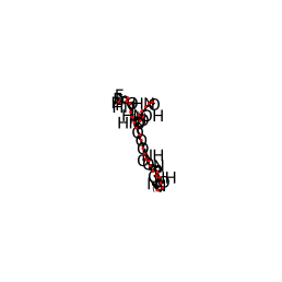 CC(=O)NCCCC[C@H](NC(=O)[C@H](CCCCNC(=O)C1C=CC(F)=C(C(F)(F)F)C1)NC(=O)CCOCCOCCOCCNC(=O)COc1ccc2c(C(=O)NCC(=O)N3CCC[C@H]3C#N)ccnc2c1)C(=O)O